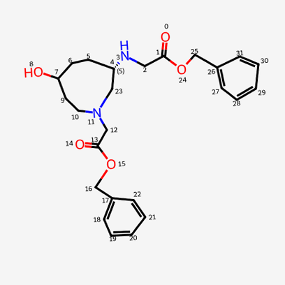 O=C(CN[C@H]1CCC(O)CCN(CC(=O)OCc2ccccc2)C1)OCc1ccccc1